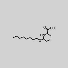 CCCCCCCCOC(CC)NC(C)C(=O)O